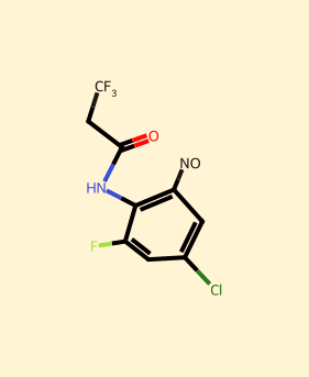 O=Nc1cc(Cl)cc(F)c1NC(=O)CC(F)(F)F